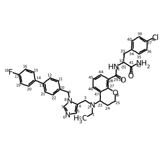 CCN(Cc1cncn1Cc1ccc(-c2ccc(F)cc2)cc1)C1CCOc2c(C(=O)N[C@@H](Cc3ccc(Cl)cc3)C(N)=O)cccc21